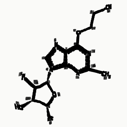 CC[C@H]1O[C@@H](n2cnc3c(OCCC#N)nc(C)nc32)C(F)[C@H]1O